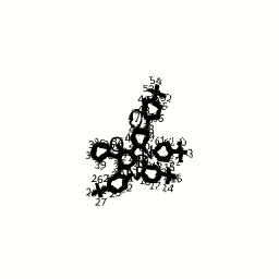 CC(C)(C)c1ccc(N2B3c4cc(C(C)(C)C)ccc4-n4c5ccc(C(C)(C)C)cc5c5c6c(oc7ccccc76)c(c3c54)-c3cc4oc5cc(C(C)(C)C)ccc5c4cc32)cc1